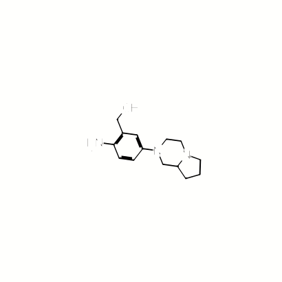 CCc1cc(N2CCN3CCCC3C2)ccc1N